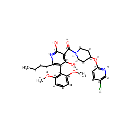 CCCCc1nc(O)c(C(=O)N2CCC(Oc3ccc(Cl)cn3)CC2)c(O)c1-c1c(OC)cccc1OC